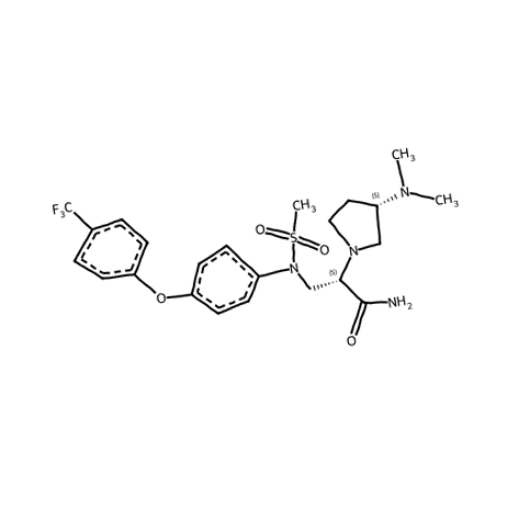 CN(C)[C@H]1CCN([C@@H](CN(c2ccc(Oc3ccc(C(F)(F)F)cc3)cc2)S(C)(=O)=O)C(N)=O)C1